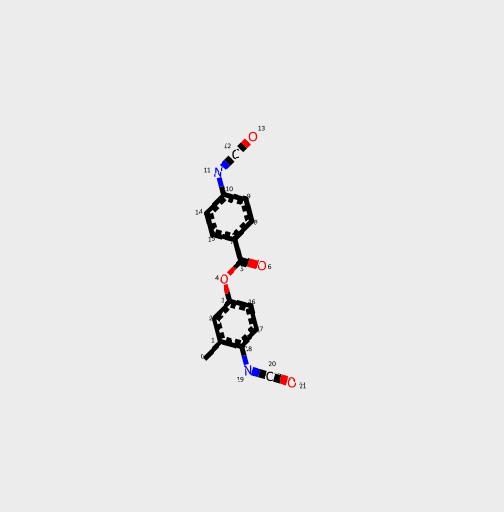 Cc1cc(OC(=O)c2ccc(N=C=O)cc2)ccc1N=C=O